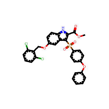 COC(=O)c1[nH]c2ccc(OCc3c(Cl)cccc3Cl)cc2c1S(=O)(=O)c1ccc(Oc2ccccc2)cc1